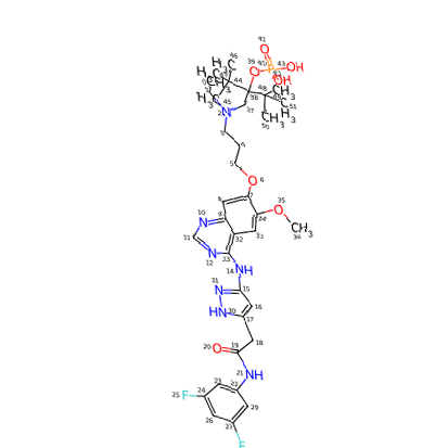 CCN(CCCOc1cc2ncnc(Nc3cc(CC(=O)Nc4cc(F)cc(F)c4)[nH]n3)c2cc1OC)CC(OP(=O)(O)O)(C(C)(C)C)C(C)(C)C